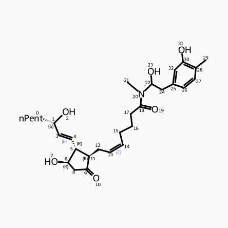 CCCCC[C@H](O)/C=C/[C@H]1[C@H](O)CC(=O)[C@@H]1C/C=C\CCCC(=O)N(C)C(O)Cc1ccc(C)c(O)c1